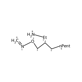 C=NOCCCCCCCC.CCN